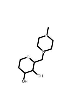 CN1CCN(CC2OCCC(O)C2O)CC1